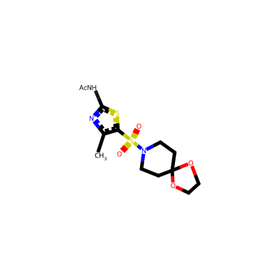 CC(=O)Nc1nc(C)c(S(=O)(=O)N2CCC3(CC2)OCCO3)s1